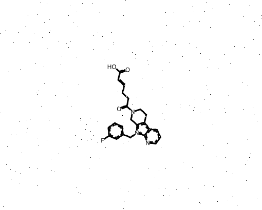 O=C(O)C=CCCC(=O)N1CCc2c(n(Cc3cccc(F)c3)c3ncccc23)C1